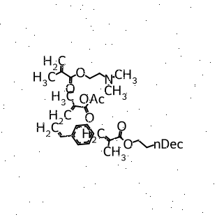 C=C(C)C(=O)OC(C)=O.C=C(C)C(=O)OCCCCCCCCCCCC.C=C(C)C(=O)OCCN(C)C.C=Cc1ccccc1